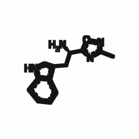 Cc1noc([C@@H](N)Cc2c[nH]c3ccccc23)n1